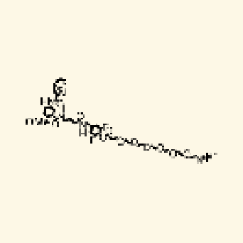 COc1ccc(NC(=O)c2cn3ccsc3n2)cc1C(=O)NCCCC(=O)NCc1cc(F)c(OC(=O)CCOCCOCCOCCOCCOCCOCCN=[N+]=[N-])c(F)c1